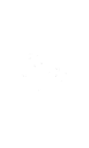 Nc1nc(NCCNc2nc(-c3ccc(Cl)cc3Cl)cn3ncnc23)ccc1[N+](=O)[O-].O=C(O)C(F)(F)F